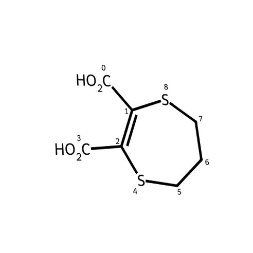 O=C(O)C1=C(C(=O)O)SCCCS1